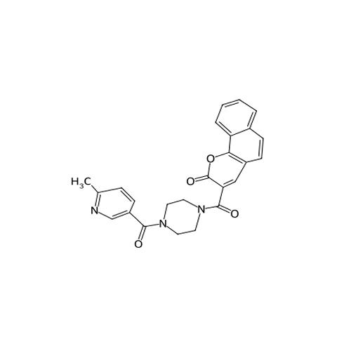 Cc1ccc(C(=O)N2CCN(C(=O)c3cc4ccc5ccccc5c4oc3=O)CC2)cn1